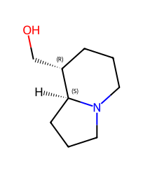 OC[C@@H]1CCCN2CCC[C@@H]12